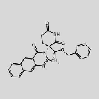 Cc1nc2cc3ccccc3cc2c(=O)n1[C@]1(C(=O)OCc2ccccc2)CCC(=O)NC1=O